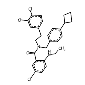 CCNc1ccc(Cl)cc1C(=O)N(CCc1ccc(Cl)c(Cl)c1)Cc1ccc(C2CCC2)cc1